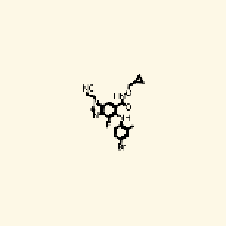 [C-]#[N+]CCn1cnc2c(F)c(Nc3ccc(Br)cc3C)c(C(=O)NOCC3CC3)cc21